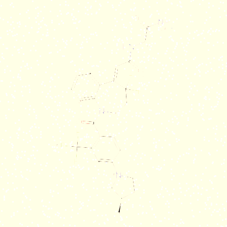 C[C@@H]1CCN(c2ccc(C(=O)N3CCC(F)(F)C(=CC(=O)NCC(N)=O)c4ccccc43)c(C(F)(F)F)c2)C1